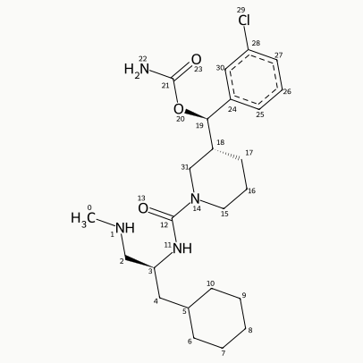 CNC[C@H](CC1CCCCC1)NC(=O)N1CCC[C@@H]([C@@H](OC(N)=O)c2cccc(Cl)c2)C1